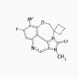 Cn1c(=O)n2c3c4c(c(Br)c(F)cc4ncc31)OCC21CCC1